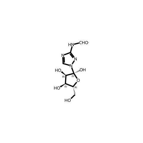 O=[C]Nc1ncn([C@@]2(O)O[C@H](CO)[C@@H](O)[C@H]2O)n1